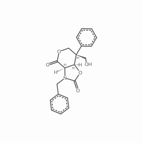 O=C1OC[C@](CO)(c2ccccc2)[C@H]2OC(=O)N(Cc3ccccc3)[C@@H]12